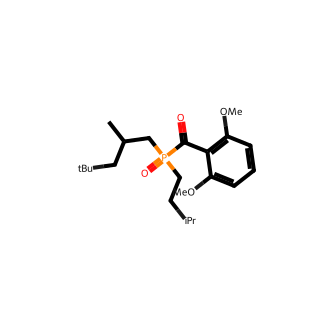 COc1cccc(OC)c1C(=O)P(=O)(CCC(C)C)CC(C)CC(C)(C)C